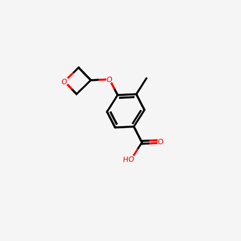 Cc1cc(C(=O)O)ccc1OC1COC1